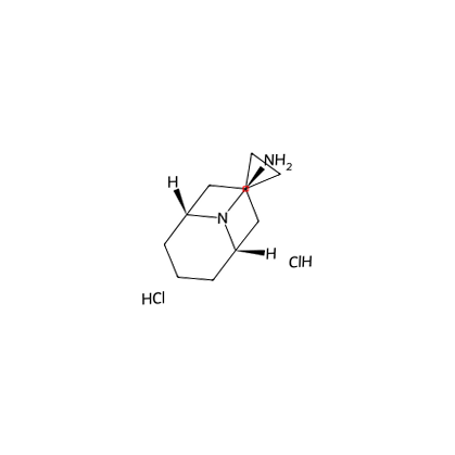 Cl.Cl.N[C@@H]1C[C@H]2CCC[C@@H](C1)N2C1CC1